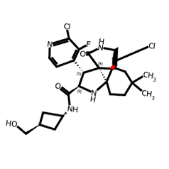 CC1(C)CCC2(CC1)N[C@@H](C(=O)N[C@H]1C[C@H](CO)C1)[C@H](c1ccnc(Cl)c1F)[C@]21C(=O)Nc2cc(Cl)ccc21